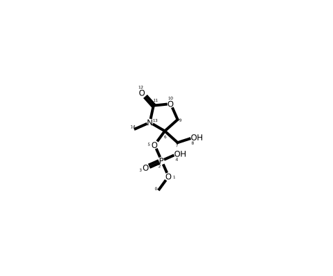 COP(=O)(O)OC1(CO)COC(=O)N1C